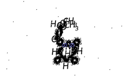 CC(C)(C)OC(=O)N1CCN(C(=O)C2CCC(/C3=C4\CC/C(=C(\C5CCCCC5)[C@H]5CCC(N5)C(C5CCCCC5)C5CCC(N5)C(C5CCCCC5)C5CCC3N5)N4)CC2)CC1